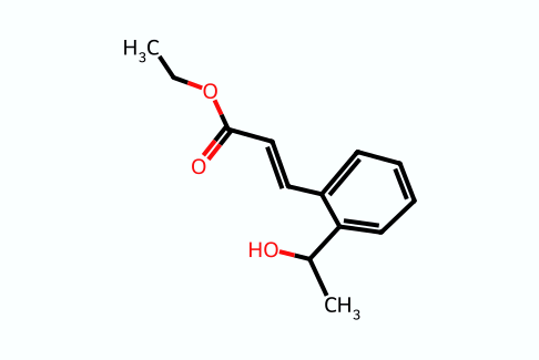 CCOC(=O)/C=C/c1ccccc1C(C)O